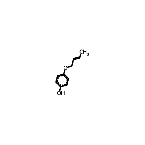 CC=CCOc1ccc(O)cc1